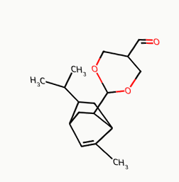 CC1=CC2CC(C3OCC(C=O)CO3)C1CC2C(C)C